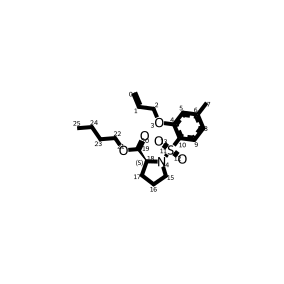 C=CCOc1cc(C)ccc1S(=O)(=O)N1CCC[C@H]1C(=O)OCCCC